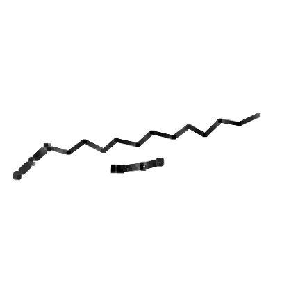 CCCCCCCCCCCCN=C=O.N=C=O